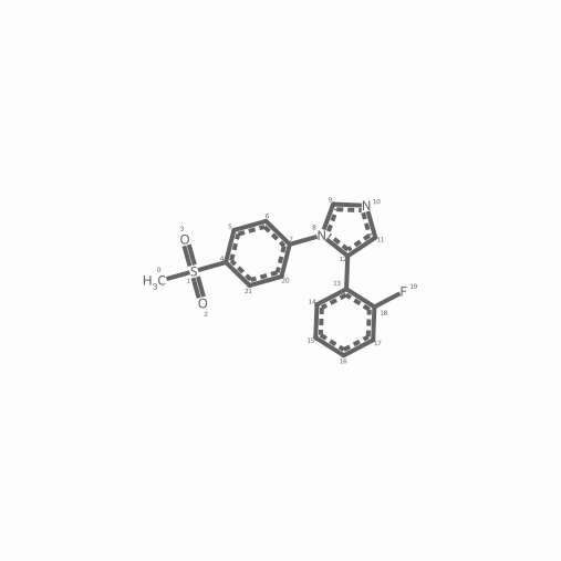 CS(=O)(=O)c1ccc(-n2cncc2-c2ccccc2F)cc1